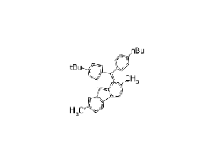 CCCCc1ccc(C(c2ccc(C(C)(C)C)cc2)=c2c(C)ccc3c2=[C]c2cc(C)ccc2-3)cc1